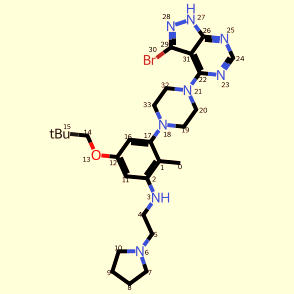 Cc1c(NCCN2CCCC2)cc(OCC(C)(C)C)cc1N1CCN(c2ncnc3[nH]nc(Br)c23)CC1